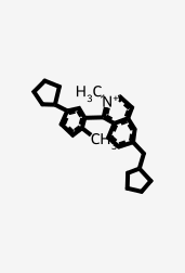 Cc1ccc(C2CCCC2)cc1-c1c2ccc(CC3CCCC3)cc2cc[n+]1C